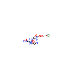 CN(C)c1ccc(/C=C2N=C(/C=C/c3ccc(=O)[nH]c3)N(CC(=O)NC3CCC(C(=O)NCCOCCOCCCCCCCl)CC3)C/2=O)cc1